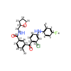 Cc1cc(F)ccc1Nc1ccc(C(=O)c2cc(C(=O)NCC3CCCO3)ccc2C)c(Cl)c1